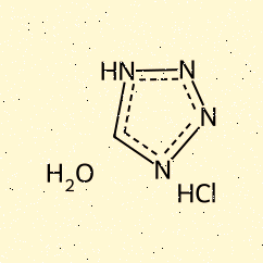 Cl.O.c1nnn[nH]1